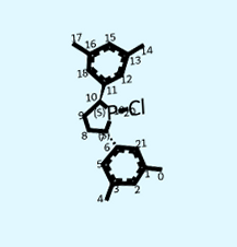 Cc1cc(C)cc([C@@H]2CC[C@@H](c3cc(C)cc(C)c3)P2Cl)c1